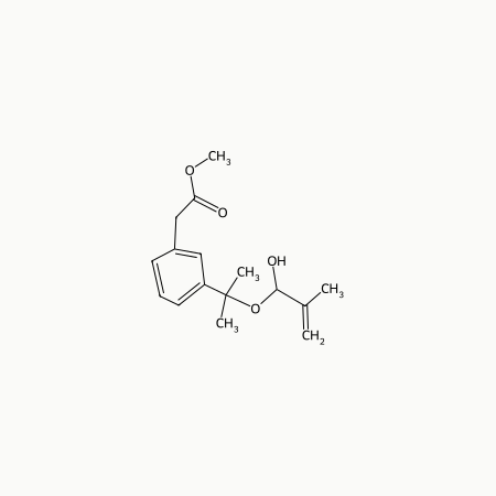 C=C(C)C(O)OC(C)(C)c1cccc(CC(=O)OC)c1